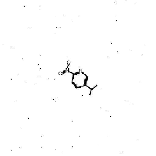 CC(C)c1ccc([N+](=O)[O-])nc1